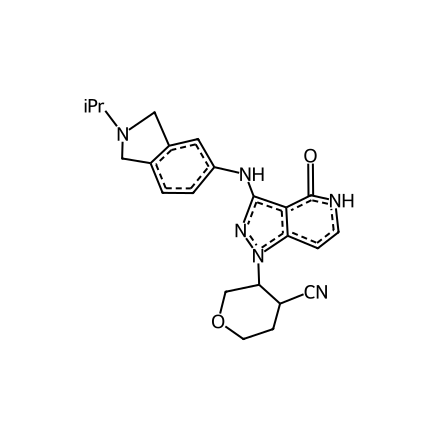 CC(C)N1Cc2ccc(Nc3nn(C4COCCC4C#N)c4cc[nH]c(=O)c34)cc2C1